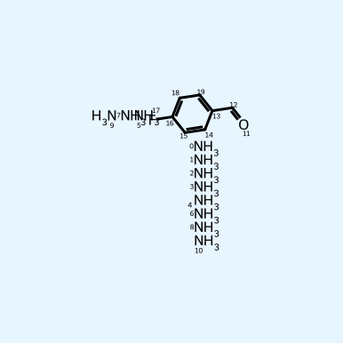 N.N.N.N.N.N.N.N.N.N.N.O=Cc1ccc(F)cc1